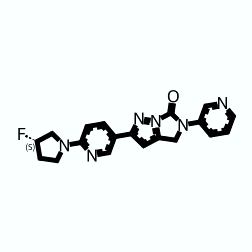 O=C1N(c2cccnc2)Cc2cc(-c3ccc(N4CC[C@H](F)C4)nc3)nn21